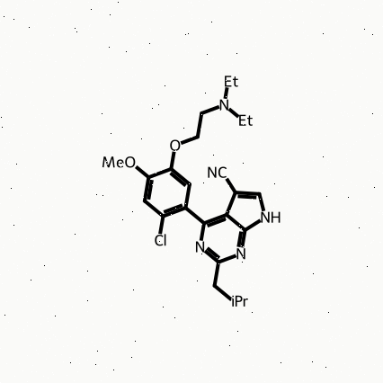 CCN(CC)CCOc1cc(-c2nc(CC(C)C)nc3[nH]cc(C#N)c23)c(Cl)cc1OC